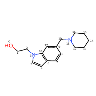 OCCn1ccc2ccc(CN3CCCCC3)cc21